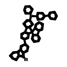 CCn1c2ccccc2c2cc(-c3ccc4c(c3)C3(c5ccccc5-c5ccccc53)c3cc(N(c5ccccc5)c5ccc(-c6ccccc6)cc5)ccc3-4)ccc21